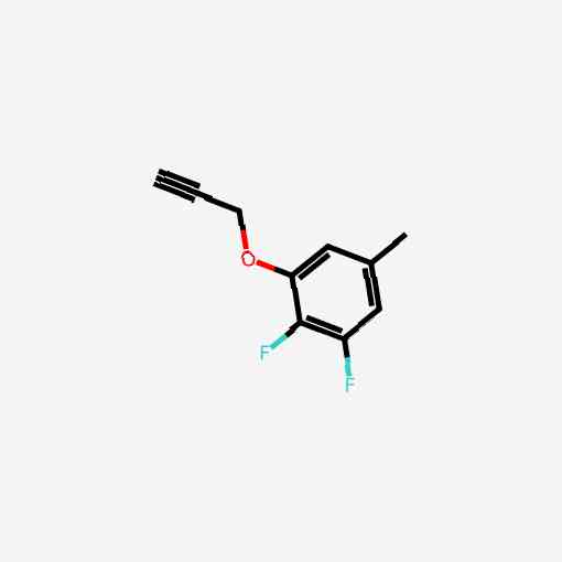 C#CCOc1cc(C)cc(F)c1F